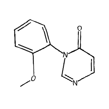 COc1ccccc1-n1cnccc1=O